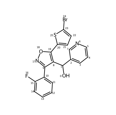 OC(c1cccnc1)c1c(-c2ccccc2F)noc1-c1ccc(Br)s1